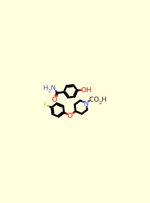 NC(=O)c1ccc(O)cc1.O=C(O)N1CCC(Oc2ccc(F)cc2)CC1